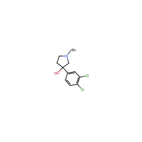 CCCCN1CCC(O)(c2ccc(Cl)c(Cl)c2)C1